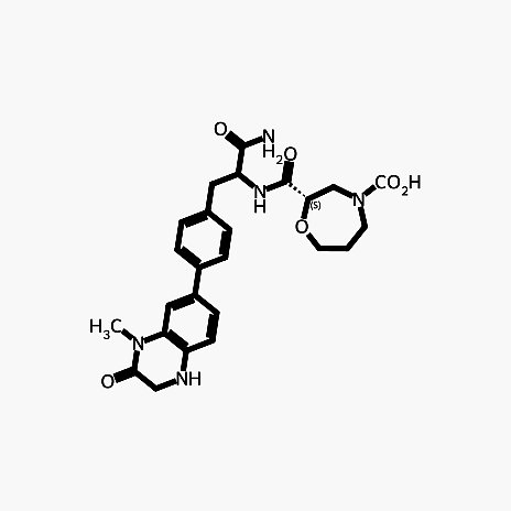 CN1C(=O)CNc2ccc(-c3ccc(CC(NC(=O)[C@@H]4CN(C(=O)O)CCCO4)C(N)=O)cc3)cc21